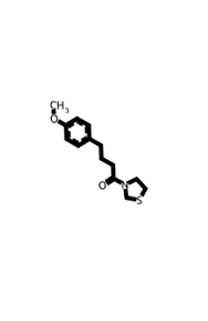 COc1ccc(CCCC(=O)N2CCSC2)cc1